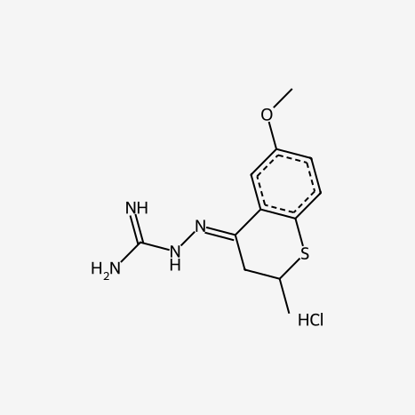 COc1ccc2c(c1)C(=NNC(=N)N)CC(C)S2.Cl